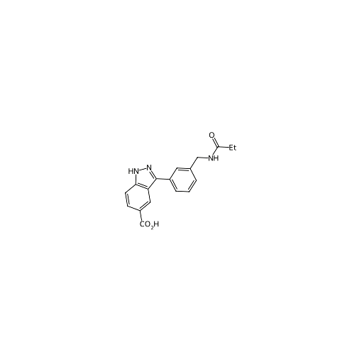 CCC(=O)NCc1cccc(-c2n[nH]c3ccc(C(=O)O)cc23)c1